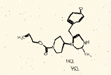 C=CCOC(=O)N1CCC(N2C[C@H](C)NC[C@@H]2Cc2ccc(Cl)cc2)CC1.Cl.Cl